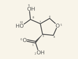 O=C(O)[C@@H]1COCC1C(O)O